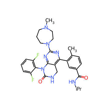 Cc1ccc(C(=O)NC(C)C)cc1-c1nc(N2CCCN(C)CC2)nc2c1CNC(=O)N2c1c(F)cccc1F